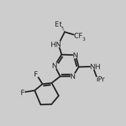 CC[C@@H](Nc1nc(NC(C)C)nc(C2=C(F)C(F)CCC2)n1)C(F)(F)F